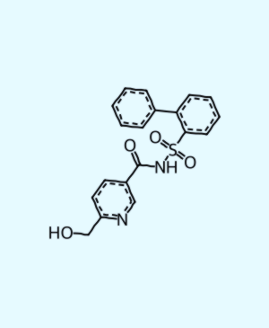 O=C(NS(=O)(=O)c1ccccc1-c1ccccc1)c1ccc(CO)nc1